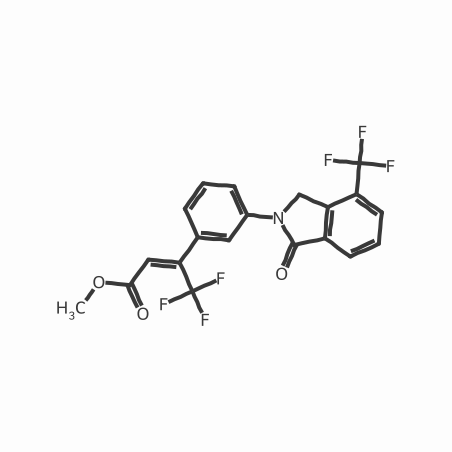 COC(=O)/C=C(/c1cccc(N2Cc3c(cccc3C(F)(F)F)C2=O)c1)C(F)(F)F